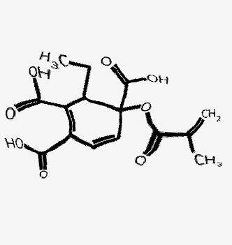 C=C(C)C(=O)OC1(C(=O)O)C=CC(C(=O)O)=C(C(=O)O)C1CC